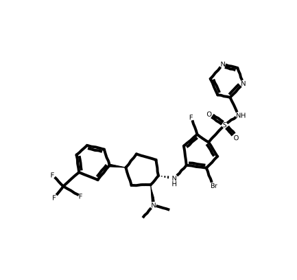 CN(C)[C@H]1C[C@@H](c2cccc(C(F)(F)F)c2)CC[C@@H]1Nc1cc(F)c(S(=O)(=O)Nc2ccncn2)cc1Br